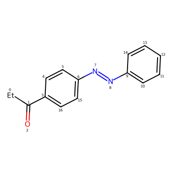 CCC(=O)c1ccc(/N=N/c2ccccc2)cc1